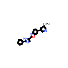 COc1cncc(-c2ccc3nc(-c4cnc(-c5ccccc5)[nH]4)oc3c2)c1